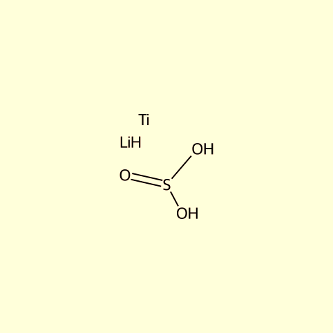 O=S(O)O.[LiH].[Ti]